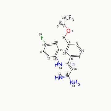 C[C@@H](OCc1cccc(/C(=C/C(=N)N)Nc2ccc(F)cc2)c1)C(F)(F)F